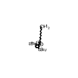 C=CCCCCCCCCCS(=O)(=O)c1cc(C(C)(C)C)ccc1C(C)(C)C